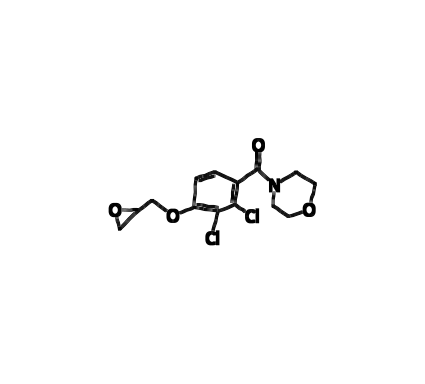 O=C(c1ccc(OCC2CO2)c(Cl)c1Cl)N1CCOCC1